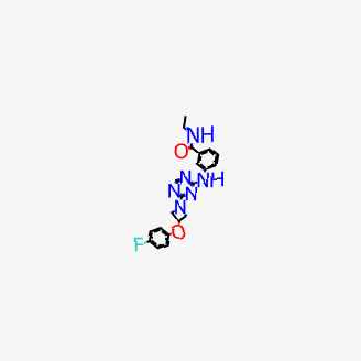 CCNC(=O)c1cccc(Nc2ncnc(N3CC(Oc4ccc(F)cc4)C3)n2)c1